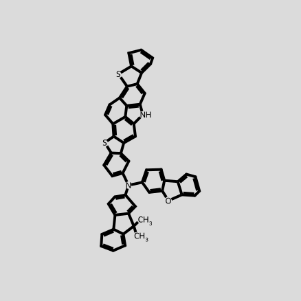 CC1(C)c2ccccc2-c2ccc(N(c3ccc4c(c3)oc3ccccc34)c3ccc4sc5c(cc6[nH]c7cc8c9ccccc9sc8c8ccc5c6c78)c4c3)cc21